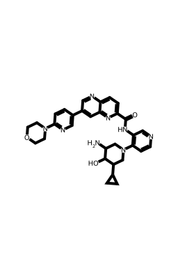 NC1CN(c2ccncc2NC(=O)c2ccc3ncc(-c4ccc(N5CCOCC5)nc4)cc3n2)CC(C2CC2)C1O